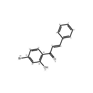 O=C(/C=C/c1ccccc1)c1ccc(Br)cc1O